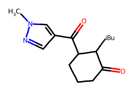 CCC(C)C1C(=O)CCCC1C(=O)c1cnn(C)c1